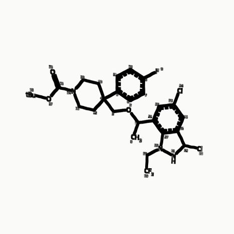 CC(OCC1(c2ccc(F)cc2)CCN(C(=O)OC(C)(C)C)CC1)c1cc(Cl)cc2c1N(CC(F)(F)F)NC2Cl